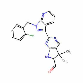 CC1(C)c2cnc(-c3nn(Cc4ccccc4F)c4ncccc34)nc2NC1C=O